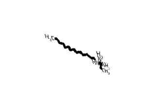 CCCCCCCCCCCCCCNC(N)(N)CC